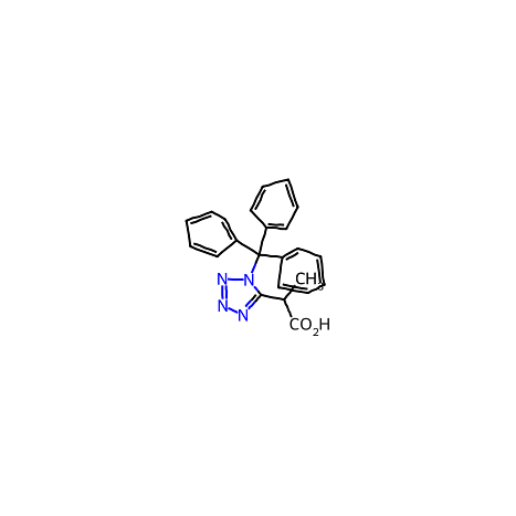 CC(C(=O)O)c1nnnn1C(c1ccccc1)(c1ccccc1)c1ccccc1